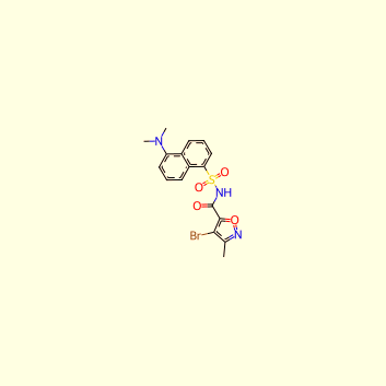 Cc1noc(C(=O)NS(=O)(=O)c2cccc3c(N(C)C)cccc23)c1Br